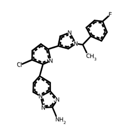 CC(c1ccc(F)cc1)n1cc(-c2ccc(Cl)c(-c3ccn4nc(N)nc4c3)n2)cn1